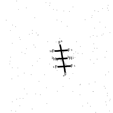 [2H]C([2H])(C(F)(F)F)C(F)(F)F